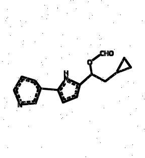 O=COC(CC1CC1)c1ccc(-c2cccnc2)[nH]1